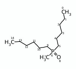 CCCCCCP(C)(=O)CCCCCC